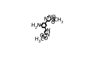 CS(=O)(=O)c1cc(-c2cc(N)cc(-c3cc(S(C)(=O)=O)ncn3)c2)ncn1